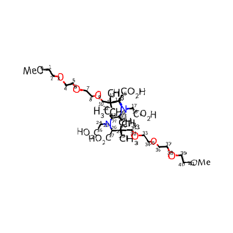 COCCOCCOCCOCC(C)(C)C(C(=O)O)N(CC(=O)O)C(C)C(C)N(CC(=O)O)C(C(=O)O)C(C)(C)COCCOCCOCCOC